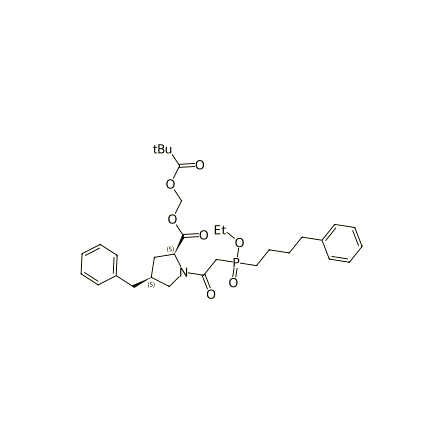 CCOP(=O)(CCCCc1ccccc1)CC(=O)N1C[C@@H](Cc2ccccc2)C[C@H]1C(=O)OCOC(=O)C(C)(C)C